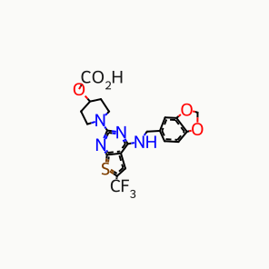 O=C(O)OC1CCN(c2nc(NCc3ccc4c(c3)OCO4)c3cc(C(F)(F)F)sc3n2)CC1